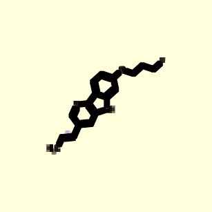 C/C=C/c1cnc2c(c1)[nH]c1cc(OCCCF)ccc12